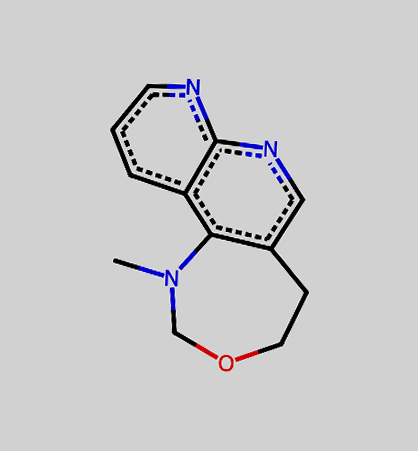 CN1COCCc2cnc3ncccc3c21